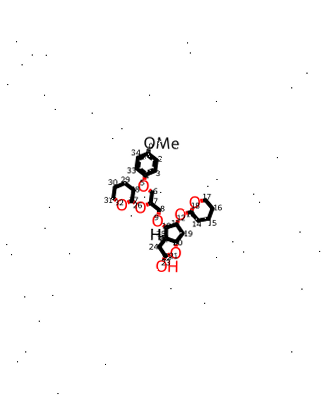 COc1ccc(OCC(COC2C(OC3CCCCO3)CC3OC(O)C[C@H]32)OC2CCCCO2)cc1